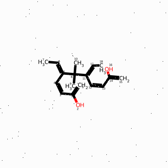 C=C(O)/C=C\C(=C/C)C(C)(C)C(/C=C\C(=C)O)=C/C